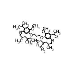 C=C(CC)CC(C)/C=N\c1cc(OCCCOc2cc(/N=C\[C@@H](C)CC(=C)CC)c(C(C)=O)cc2OC)c(OC)cc1C(=C)C